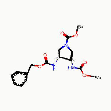 CC(C)(C)OC(=O)N[C@H]1CN(C(=O)OC(C)(C)C)C[C@H]1NC(=O)OCc1ccccc1